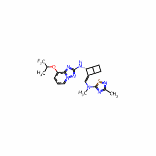 Cc1nsc(N(C)/C=C2\C3CCC3[C@H]2Nc2nc3c(OC(C)C(F)(F)F)cccn3n2)n1